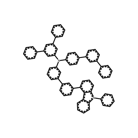 c1ccc(-c2cccc(-c3ccc(N(c4cccc(-c5cccc(-c6cccc7c6c6ccccc6n7-c6ccccc6)c5)c4)c4cc(-c5ccccc5)cc(-c5ccccc5)c4)cc3)c2)cc1